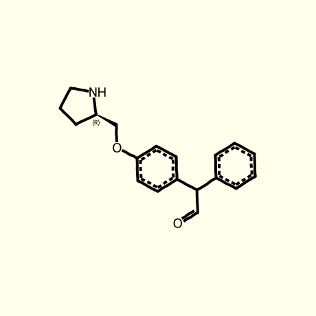 O=CC(c1ccccc1)c1ccc(OC[C@H]2CCCN2)cc1